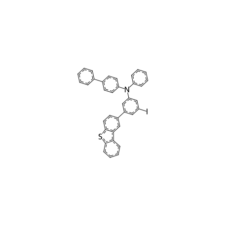 Ic1cc(-c2ccc3sc4ccccc4c3c2)cc(N(c2ccccc2)c2ccc(-c3ccccc3)cc2)c1